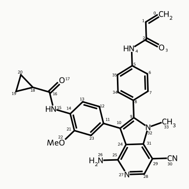 C=CC(=O)Nc1ccc(-c2c(-c3ccc(NC(=O)C4CC4)c(OC)c3)c3c(N)ncc(C#N)c3n2C)cc1